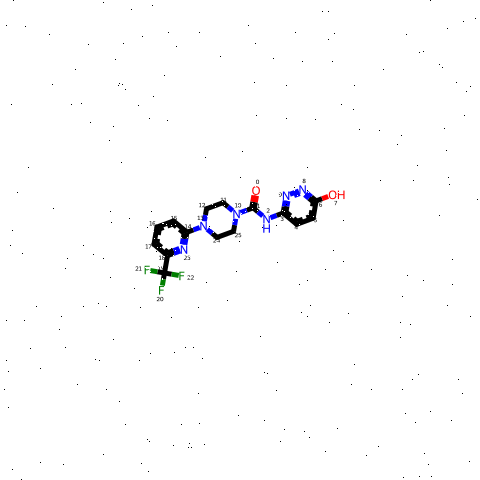 O=C(Nc1ccc(O)nn1)N1CCN(c2cccc(C(F)(F)F)n2)CC1